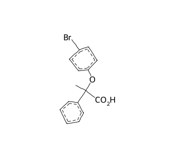 CC(Oc1ccc(Br)cc1)(C(=O)O)c1ccccc1